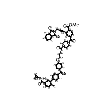 COC(=O)c1ccc(C(=O)N2CCN(C(=O)OCCOc3ccc(C(=O)c4ccc(-c5cc(C(=O)NC6CC6)ccc5C)cc4)cc3)CC2)cc1C#CCN1C(=O)c2ccccc2C1=O